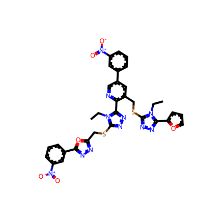 CCn1c(SCc2cc(-c3cccc([N+](=O)[O-])c3)cnc2-c2nnc(SCc3nnc(-c4cccc([N+](=O)[O-])c4)o3)n2CC)nnc1-c1ccco1